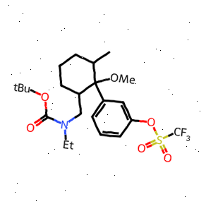 CCN(CC1CCCC(C)C1(OC)c1cccc(OS(=O)(=O)C(F)(F)F)c1)C(=O)OC(C)(C)C